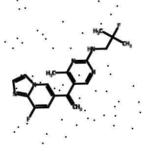 C=C(c1cc(F)c2nccn2c1)c1cnc(NCC(C)(C)F)nc1C